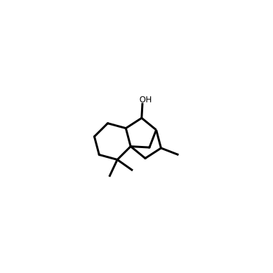 CC1CC23CC1C(O)C2CCCC3(C)C